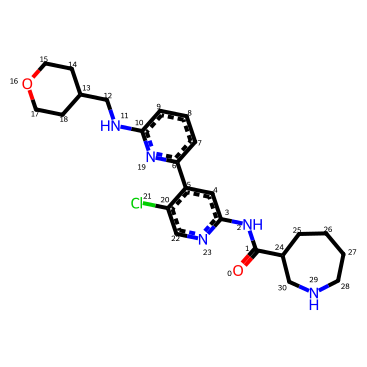 O=C(Nc1cc(-c2cccc(NCC3CCOCC3)n2)c(Cl)cn1)C1CCCCNC1